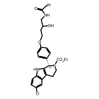 CCOC(=O)N1CCc2c([nH]c3ccc(Cl)cc23)[C@@H]1c1ccc(OCCC(O)CNC(=O)C(C)C)cc1